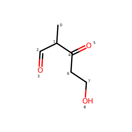 CC(C=O)C(=O)CCO